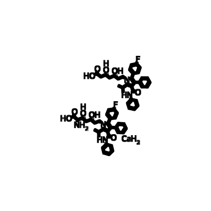 CC(C)c1c(C(=O)Nc2ccccc2)c(-c2ccccc2)c(-c2ccc(F)cc2)n1CC[C@@H](O)C[C@@H](O)C(N)C(=O)O.CC(C)c1c(C(=O)Nc2ccccc2)c(-c2ccccc2)c(-c2ccc(F)cc2)n1CC[C@@H](O)C[C@@H](O)CC(=O)O.[CaH2]